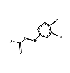 CC(=O)ONc1ccc(F)c(Cl)c1